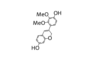 COc1c(O)ccc(C2=Cc3ccc(O)cc3OC2)c1OC